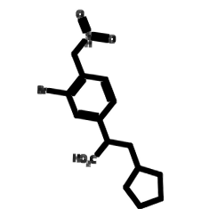 O=C(O)C(CC1CCCC1)c1ccc(C[SH](=O)=O)c(Br)c1